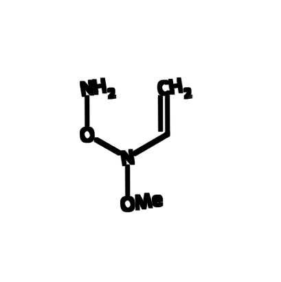 C=CN(OC)ON